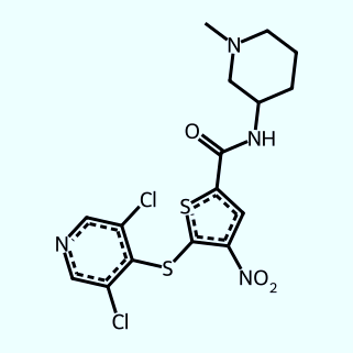 CN1CCCC(NC(=O)c2cc([N+](=O)[O-])c(Sc3c(Cl)cncc3Cl)s2)C1